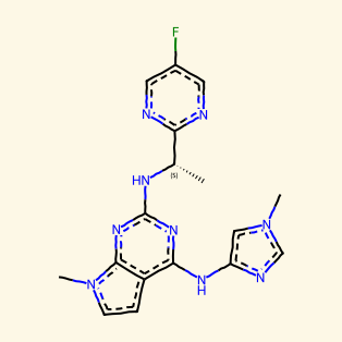 C[C@H](Nc1nc(Nc2cn(C)cn2)c2ccn(C)c2n1)c1ncc(F)cn1